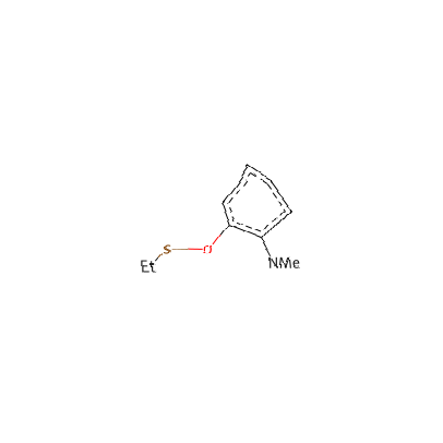 CCSOc1ccccc1NC